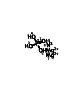 N.O=P(O)(O)O.[Mg+2].[Mg+2]